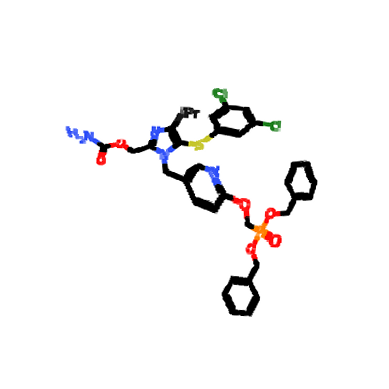 CC(C)c1nc(COC(N)=O)n(Cc2ccc(OCP(=O)(OCc3ccccc3)OCc3ccccc3)nc2)c1Sc1cc(Cl)cc(Cl)c1